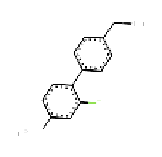 CCCCCc1ccc(-c2ccc(CC(C)CC)cc2)c(F)c1